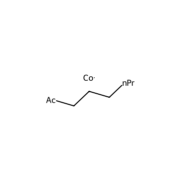 CCCCCCC(C)=O.[Co]